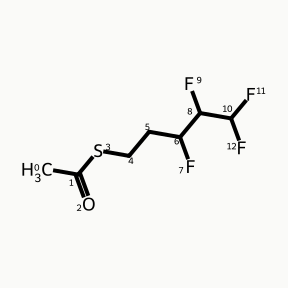 CC(=O)SCCC(F)C(F)C(F)F